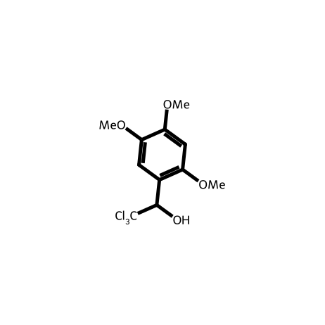 COc1cc(OC)c(C(O)C(Cl)(Cl)Cl)cc1OC